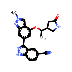 CC(Oc1cc(-c2n[nH]c3ccc(C#N)cc23)cc2nn(C)cc12)C1CNC(=O)C1